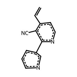 C=Cc1ccnc(-c2cccnc2)c1C#N